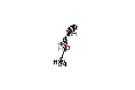 O=C(CCCCCCNC(=O)c1cc2cc(CCC(=O)N[C@@H](Cc3ccccc3)C(=O)O)ccc2[nH]1)NO